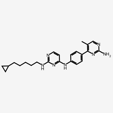 Cc1cnc(N)nc1-c1ccc(Nc2ccnc(NCCCCCC3CC3)n2)cc1